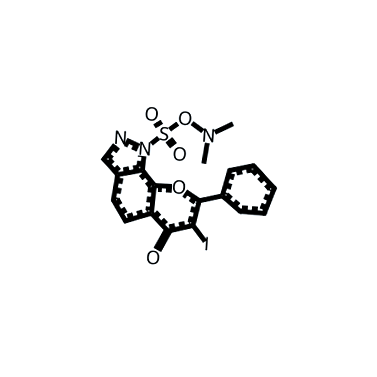 CN(C)OS(=O)(=O)n1ncc2ccc3c(=O)c(I)c(-c4ccccc4)oc3c21